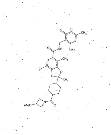 COC1CN(C(=O)C2CCC(C3(C)Oc4c(Cl)cc(C(=O)NCc5c(SC)cc(C)[nH]c5=O)c(C)c4O3)CC2)C1